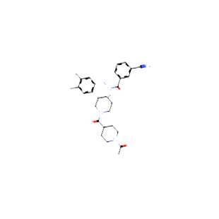 CC(=O)N1CCC(C(=O)N2CC[C@@H](N(C)C(=O)c3cccc(C#N)c3)[C@H](c3ccc(Cl)c(Cl)c3)C2)CC1